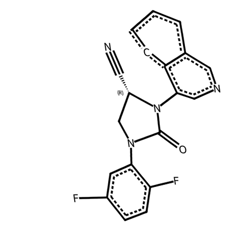 N#C[C@H]1CN(c2cc(F)ccc2F)C(=O)N1c1cncc2ccccc12